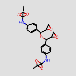 CC12OC1(Nc1ccc(C(OC(c3ccc(NC45OC4(C)O5)cc3)C3CO3)C3CO3)cc1)O2